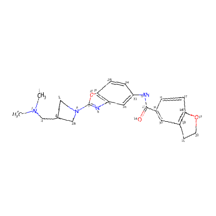 CN(C)CC1CN(c2nc3cc(NC(=O)c4ccc5c(c4)CCO5)ccc3o2)C1